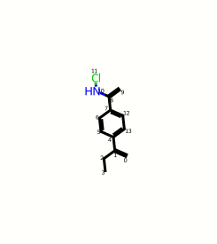 C=C(CC)c1ccc(C(=C)NCl)cc1